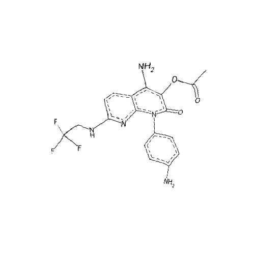 CC(=O)Oc1c(N)c2ccc(NCC(F)(F)F)nc2n(-c2ccc(N)cc2)c1=O